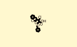 O=C(O)/C(C(=O)OCc1ccccc1)=C(\CCl)C(=CCl)Cc1ccccc1